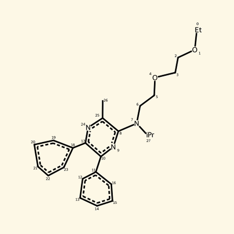 CCOCCOCCN(c1nc(-c2ccccc2)c(-c2ccccc2)nc1C)C(C)C